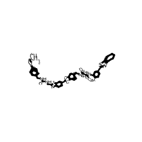 COc1ccc(CNC(=O)NCc2nc3ccc(C4Oc5ccc(CNC(=O)C(O)Nc6cccc(-c7nc8ccccc8s7)c6)cc5O4)cc3s2)cc1